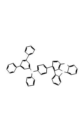 c1ccc(-c2cc(-c3ccccc3)cc(N(c3ccccc3)c3ccc(-c4ccc5c6c4c4ccccc4n6-c4ccccc4O5)cc3)c2)cc1